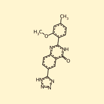 COc1cc(C)ccc1-c1nc2ccc(-c3nnn[nH]3)cc2c(=O)[nH]1